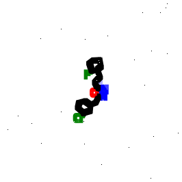 Fc1ccccc1/C=C/c1nnc(Cc2cccc(Cl)c2)o1